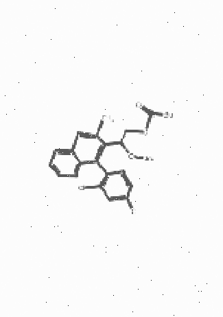 Cc1cc2ccccc2c(-c2ccc(Cl)cc2Cl)c1[C@@H](COC(=O)C(C)(C)C)OC(C)(C)C